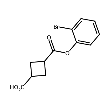 O=C(O)C1CC(C(=O)Oc2ccccc2Br)C1